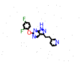 Fc1ccc(Oc2ncc3c(CCc4cccnc4)n[nH]c3n2)c(F)c1